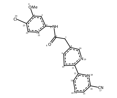 COc1cc(NC(=O)Cc2ccc(-c3cncc(C#N)n3)nc2)ncc1Cl